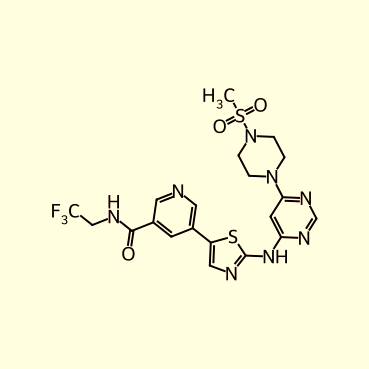 CS(=O)(=O)N1CCN(c2cc(Nc3ncc(-c4cncc(C(=O)NCC(F)(F)F)c4)s3)ncn2)CC1